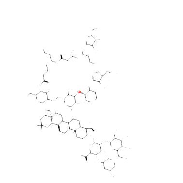 CC[C@H](C)[C@H](C[C@H](O)CC(=O)N[C@H]1C(CO)O[C@@H](OC(=O)[C@]23CCC(C)(C)CC2C2=CCC4C5(C)CC[C@H](O[C@@H]6OC(C(=O)O)[C@@H](O)[C@H](O[C@@H]7OC[C@@H](O)[C@H](O)C7O)C6O[C@@H]6OC(CO)[C@H](O)[C@H](O)C6OC)[C@](C)(C=O)[C@@H]5CC[C@]4(C)[C@]2(C)CC3O)C(OC[C@@H]2O[C@H](C)[C@H](O[C@@H]3OC[C@@H](O)C(O[C@@H]4OC[C@@](O)(CO)C4O)C3O)C(O)C2O)C1O)NC(=O)C[C@@H](O)C[C@H](O[C@@H]1O[C@@H](CO)C(O)C1O)[C@@H](C)CC